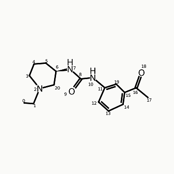 CCN1CCC[C@@H](NC(=O)Nc2cccc(C(C)=O)c2)C1